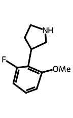 COc1cccc(F)c1C1CCNC1